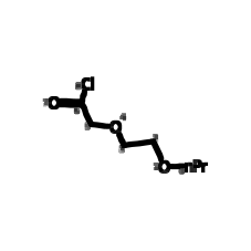 CCCOCCOCC(=O)Cl